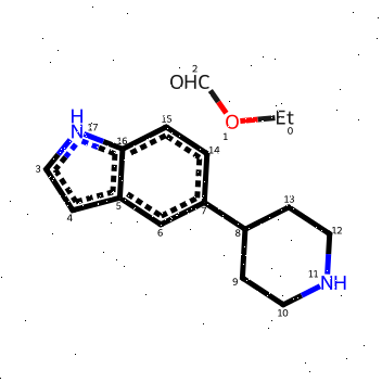 CCOC=O.c1cc2cc(C3CCNCC3)ccc2[nH]1